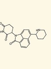 O=C1CCC(N2C(=O)c3cccc4c(C5CCCCN5)ccc2c34)C(=O)N1